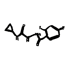 O=C(NNC(=O)c1ccc(F)cc1F)NC1CC1